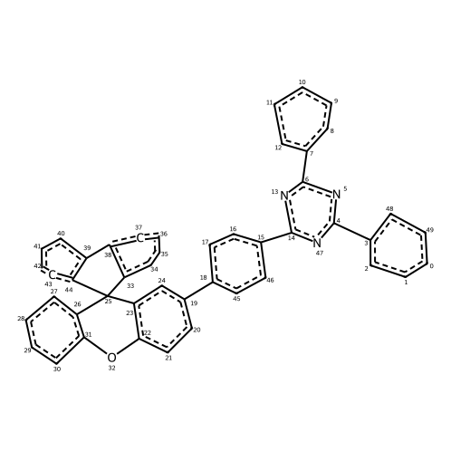 c1ccc(-c2nc(-c3ccccc3)nc(-c3ccc(-c4ccc5c(c4)C4(c6ccccc6O5)c5ccccc5-c5ccccc54)cc3)n2)cc1